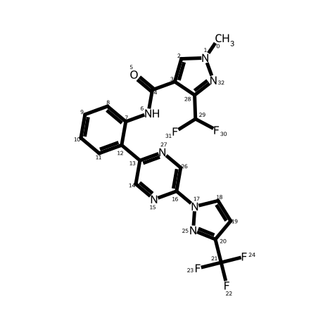 Cn1cc(C(=O)Nc2ccccc2-c2cnc(-n3ccc(C(F)(F)F)n3)cn2)c(C(F)F)n1